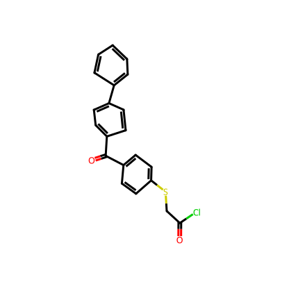 O=C(Cl)CSc1ccc(C(=O)c2ccc(-c3ccccc3)cc2)cc1